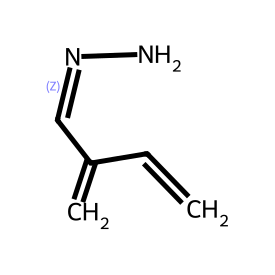 C=CC(=C)/C=N\N